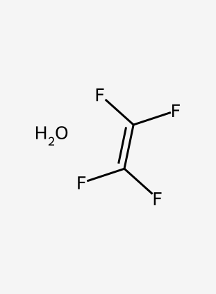 FC(F)=C(F)F.O